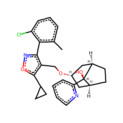 Cc1cccc(Cl)c1-c1noc(C2CC2)c1CO[C@@H]1C[C@H]2CC[C@@H](C1)[C@]2(O)c1ccccn1